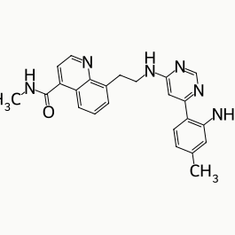 CNC(=O)c1ccnc2c(CCNc3cc(-c4ccc(C)cc4N)ncn3)cccc12